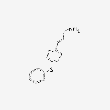 NCC=Cc1ccc(Sc2ccccc2)cc1